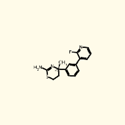 C[C@@]1(c2cccc(-c3cccnc3F)c2)CCSC(N)=N1